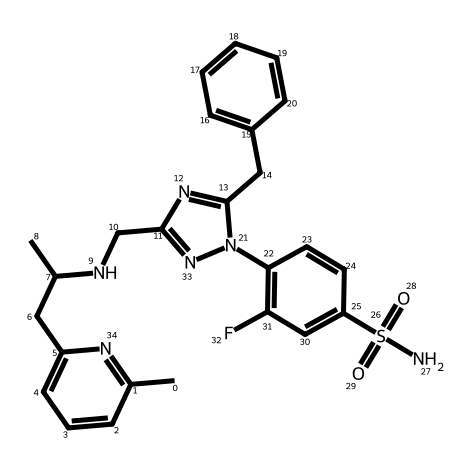 Cc1cccc(CC(C)NCc2nc(Cc3ccccc3)n(-c3ccc(S(N)(=O)=O)cc3F)n2)n1